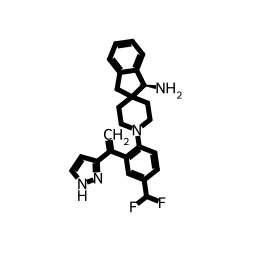 C=C(c1cc[nH]n1)c1cc(C(F)F)ccc1N1CCC2(CC1)Cc1ccccc1[C@H]2N